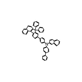 c1ccc(-c2ccc(N(c3ccc(-c4ccc5c(c4)C(c4ccccc4)(c4ccccc4)c4ccc6ccccc6c4-5)cc3)c3ccc4ccccc4c3)cc2)cc1